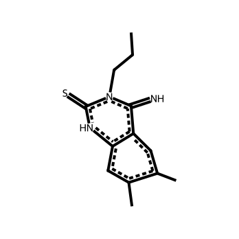 CCCn1c(=S)[nH]c2cc(C)c(C)cc2c1=N